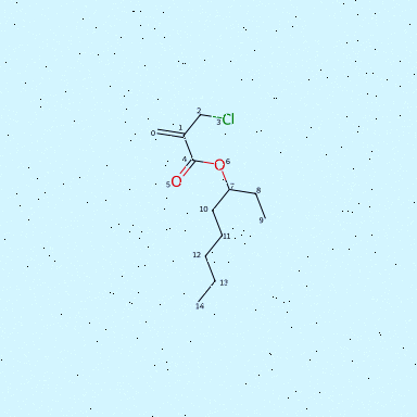 C=C(CCl)C(=O)OC(CC)CCCCC